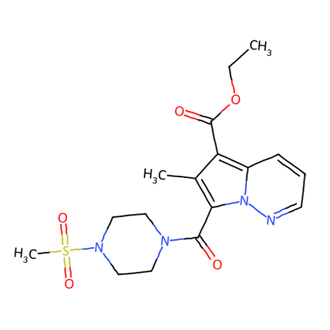 CCOC(=O)c1c(C)c(C(=O)N2CCN(S(C)(=O)=O)CC2)n2ncccc12